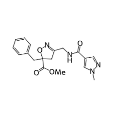 COC(=O)C1(Cc2ccccc2)CC(CNC(=O)c2cnn(C)c2)=NO1